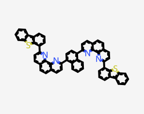 c1ccc2c(c1)sc1c(-c3ccc4ccc5ccc(-c6ccc(-c7ccc8ccc9ccc(-c%10cccc%11c%10sc%10ccccc%10%11)nc9c8n7)c7ccccc67)nc5c4n3)cccc12